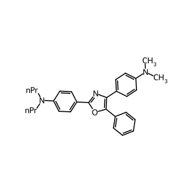 CCCN(CCC)c1ccc(-c2nc(-c3ccc(N(C)C)cc3)c(-c3ccccc3)o2)cc1